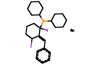 IC1CCCC(I)(P(C2CCCCC2)C2CCCCC2)C1=Cc1ccccc1.[Ru]